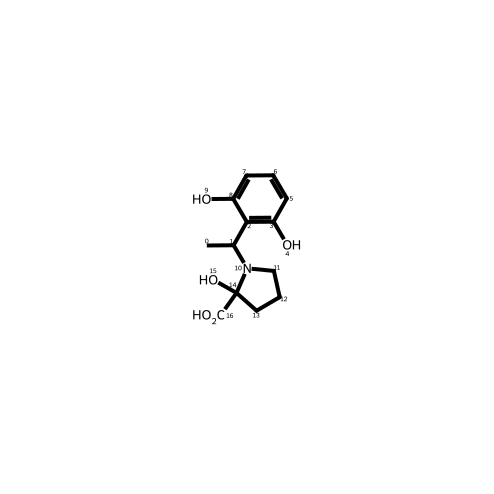 CC(c1c(O)cccc1O)N1CCCC1(O)C(=O)O